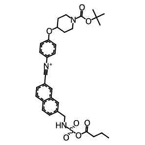 CCCC(=O)OS(=O)(=O)NCc1ccc2ccc(C#[N+]c3ccc(OC4CCN(C(=O)OC(C)(C)C)CC4)cc3)cc2c1